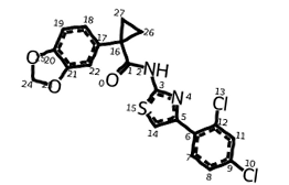 O=C(Nc1nc(-c2ccc(Cl)cc2Cl)cs1)C1(c2ccc3c(c2)OCO3)CC1